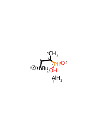 CCCCCC(C)[PH](=O)O.[AlH3].[Zn]